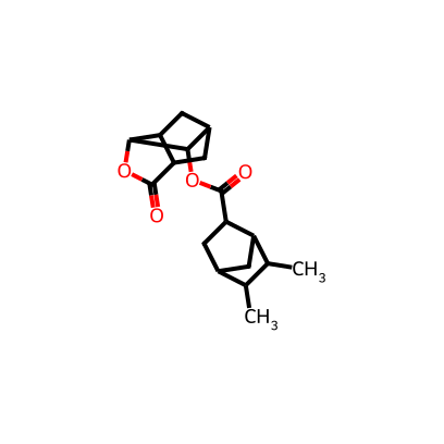 CC1C2CC(C(=O)OC3C4CC5C(=O)OC3C5C4)C(C2)C1C